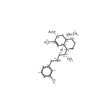 CC(=O)O[C@@H]1[C][C@@]2(O)[C@H](C)CC[C@@H]([C@H](C)CNCc3cccc(Cl)c3)[C@H]2C=C1C